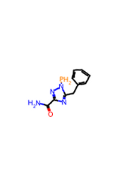 NC(=O)c1nc(Cc2ccccc2)n(P)n1